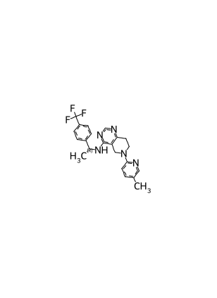 Cc1ccc(N2CCc3ncnc(N[C@H](C)c4ccc(C(F)(F)F)cc4)c3C2)nc1